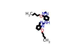 C=CCCCOc1ncnc2ccc(Nc3ncc4cccc(OCCCC=C)c4n3)cc12